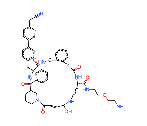 N#CCc1ccc(-c2ccc(C[C@@H]3NC(=O)[C@]4(Cc5ccccc5)CCCN(C4)C(=O)/C=C/C(O)NCC[C@@H](C(=O)NCCOCCN)NC(=O)Cc4ccccc4CNC3=O)cc2)cc1